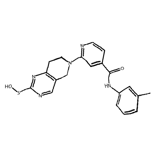 Cc1cccc(NC(=O)c2ccnc(N3CCc4nc(SO)ncc4C3)c2)c1